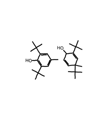 CC(C)(C)C1=CC(C)(C(C)(C)C)C=CC1O.Cc1cc(C(C)(C)C)c(O)c(C(C)(C)C)c1